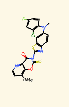 COc1ccnc2c(=O)n(-c3nc4ccc(N(C)c5ccc(F)cc5Cl)cc4s3)c(=S)oc12